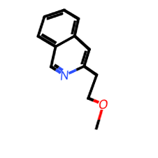 COCCc1cc2ccccc2cn1